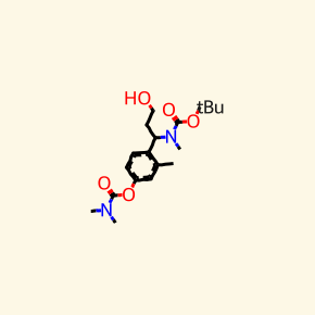 Cc1cc(OC(=O)N(C)C)ccc1C(CCO)N(C)C(=O)OC(C)(C)C